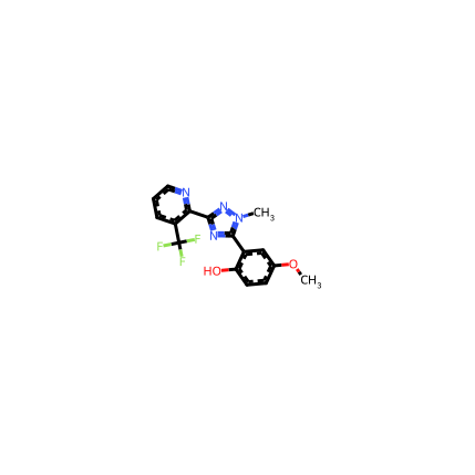 COc1ccc(O)c(-c2nc(-c3ncccc3C(F)(F)F)nn2C)c1